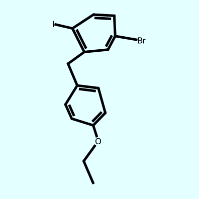 CCOc1ccc(Cc2cc(Br)ccc2I)cc1